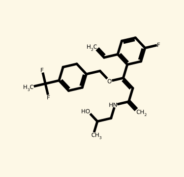 C=Cc1ccc(F)cc1/C(=C/C(=C)NCC(C)O)OCC1=CC=C(C(C)(F)F)CC1